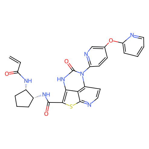 C=CC(=O)N[C@H]1CCC[C@H]1NC(=O)c1sc2nccc3c2c1NC(=O)N3c1ccc(Oc2ccccn2)cn1